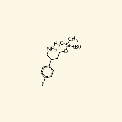 CC(C)(C)[Si](C)(C)OCCC(CN)c1ccc(F)cc1